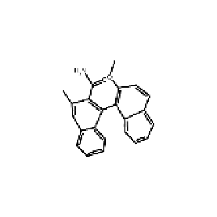 COc1ccc2ccccc2c1-c1c(C(N)=O)c(C)cc2ccccc12